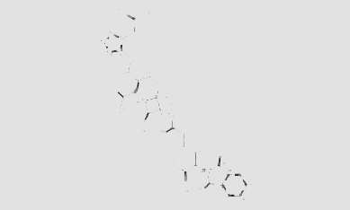 O=C(O)Cn1nnnc1SCC1=C(C(=O)O)N2C(=O)C(NC(=O)CCCC(C(=O)O)N3C(=O)c4ccccc4C3=O)[C@@H]2SC1